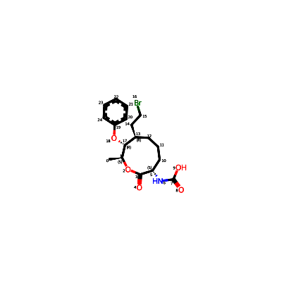 C[C@@H]1OC(=O)[C@@H](NC(=O)O)CCC[C@H](CCBr)[C@H]1Oc1ccccc1